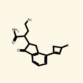 CC(=O)CCC(C(N)=O)C1Cc2c(cccc2C2=CC(I)C2)C1=O